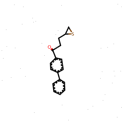 O=C(CCC1CS1)c1ccc(-c2ccccc2)cc1